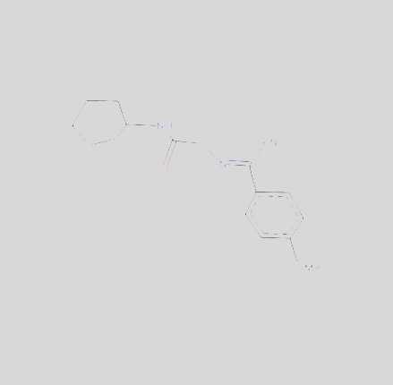 COc1ccc(C(C#N)=NOC(=O)NC2CCCCC2)cc1